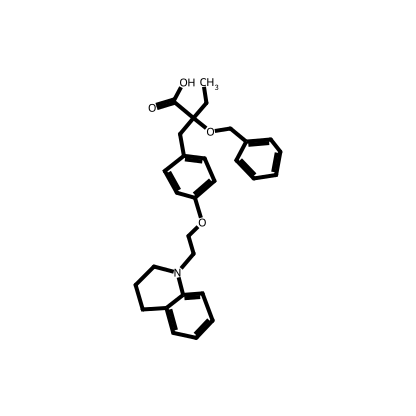 CCC(Cc1ccc(OCCN2CCCc3ccccc32)cc1)(OCc1ccccc1)C(=O)O